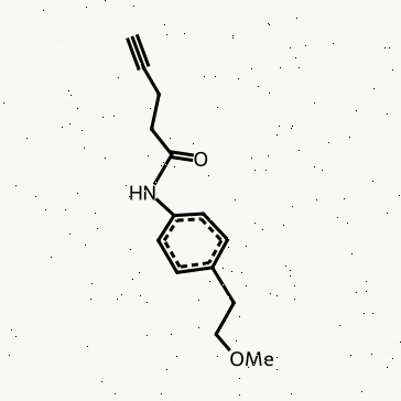 C#CCCC(=O)Nc1ccc(CCOC)cc1